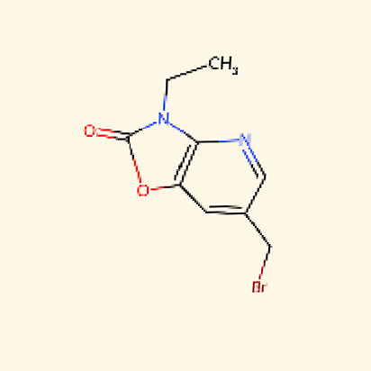 CCn1c(=O)oc2cc(CBr)cnc21